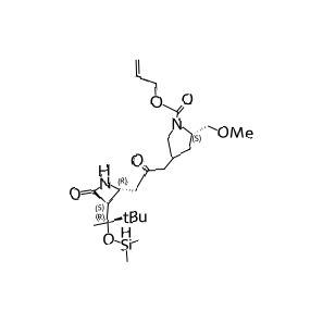 C=CCOC(=O)N1CC(CC(=O)C[C@H]2NC(=O)[C@@H]2[C@@](C)(O[SiH](C)C)C(C)(C)C)C[C@H]1COC